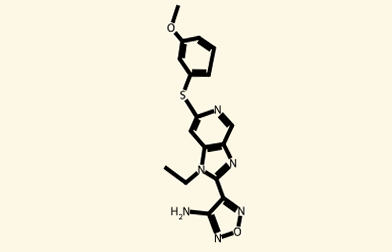 CCn1c(-c2nonc2N)nc2cnc(Sc3cccc(OC)c3)cc21